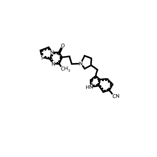 Cc1nc2sccn2c(=O)c1CCN1CCC(Cc2c[nH]c3cc(C#N)ccc23)C1